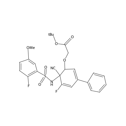 COc1ccc(F)c(S(=O)(=O)NC2(C#N)C(F)=CC(c3ccccc3)=CC2OCC(=O)OC(C)(C)C)c1